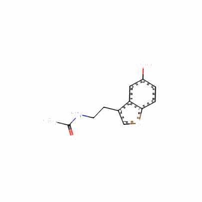 CCCCC(=O)NCCc1csc2ccc(O)cc12